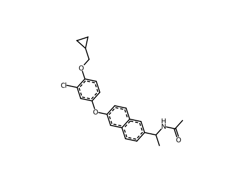 CC(=O)NC(C)c1ccc2cc(Oc3ccc(OCC4CC4)c(Cl)c3)ccc2c1